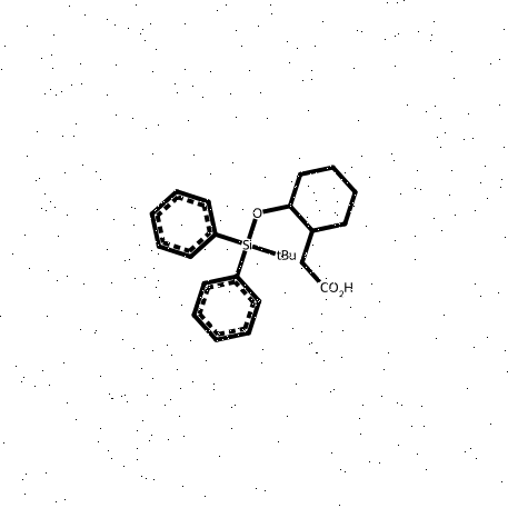 CC(C)(C)[Si](OC1CCCCC1CC(=O)O)(c1ccccc1)c1ccccc1